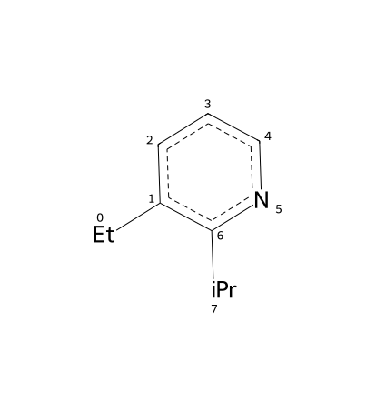 CCc1cccnc1C(C)C